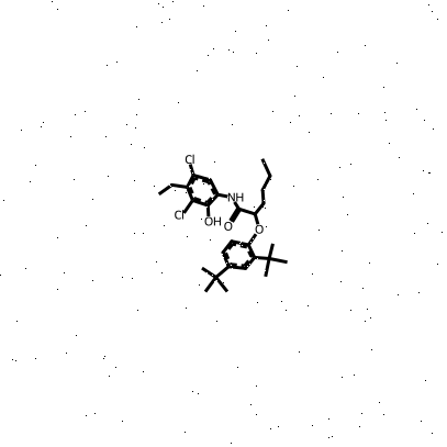 CCCCC(Oc1ccc(C(C)(C)C)cc1C(C)(C)C)C(=O)Nc1cc(Cl)c(CC)c(Cl)c1O